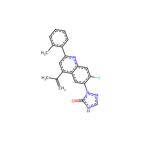 C=C(C)c1cc(-c2ccccc2C)nc2cc(F)c(-n3nc[nH]c3=O)cc12